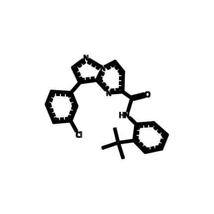 CC(C)(C)c1ccccc1NC(=O)c1ccn2ncc(-c3cccc(Cl)c3)c2n1